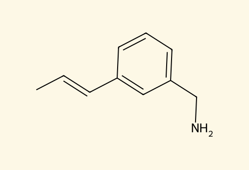 CC=Cc1cccc(CN)c1